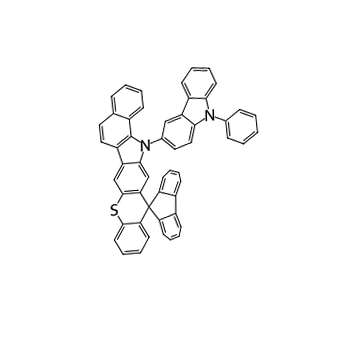 c1ccc(-n2c3ccccc3c3cc(-n4c5cc6c(cc5c5ccc7ccccc7c54)Sc4ccccc4C64c5ccccc5-c5ccccc54)ccc32)cc1